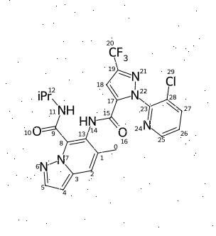 Cc1cc2ccnn2c(C(=O)NC(C)C)c1NC(=O)c1cc(C(F)(F)F)nn1-c1ncccc1Cl